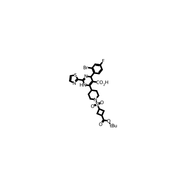 CC(C)(C)OC(=O)C1CC(S(=O)(=O)N2CCC(C3=C(C(=O)O)C(c4ccc(F)cc4Br)N=C(c4nccs4)N3)CC2)C1